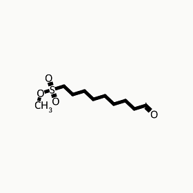 COS(=O)(=O)CCCCCCCC[C]=O